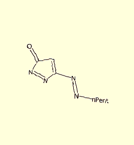 CCCCCN=NC1=CC(=O)N=N1